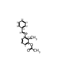 CC(=O)Oc1cccc(N=Cc2ccccc2)c1C